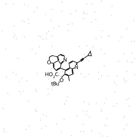 Cc1cc2nc(C#CC3CC3)ccc2c(-c2ccc3c4c(ccnc24)CCO3)c1[C@H](OC(C)(C)C)C(=O)O